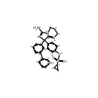 NC1=NC(c2ccc(OS(=O)(=O)C3CC3)cc2)(c2cccc(-c3cccnc3)c2)C2=NCCCN12